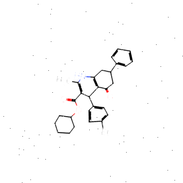 CCc1ccc(C2C(C(=O)OC3CCCCC3)=C(C)NC3=C2C(=O)CC(c2ccccc2)C3)cc1